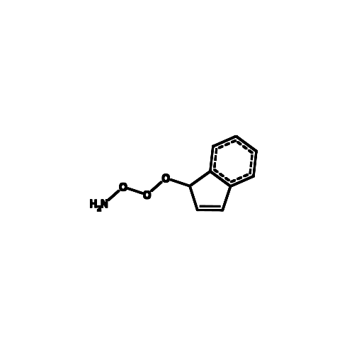 NOOOC1C=Cc2ccccc21